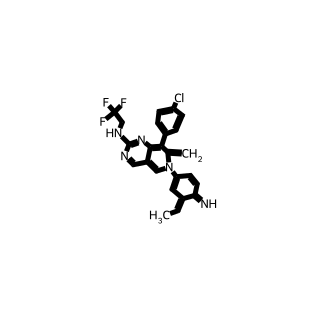 C=C1C(c2ccc(Cl)cc2)=c2nc(NCC(F)(F)F)ncc2=CN1C1=C/C(=C\C)C(=N)C=C1